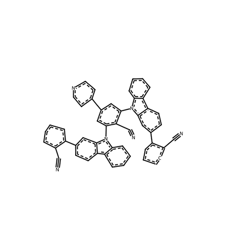 N#Cc1ccccc1-c1ccc2c3ccccc3n(-c3cc(-c4ccncc4)cc(-n4c5ccccc5c5ccc(-c6ccccc6C#N)cc54)c3C#N)c2c1